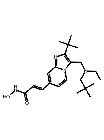 CCN(Cc1c(C(C)(C)C)nc2cc(C=CC(=O)NO)ccn12)CC(C)(C)C